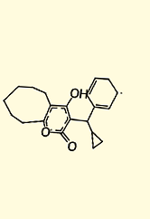 O=c1oc2c(c(O)c1C(C1=C[CH]CC=C1)C1CC1)CCCCCC2